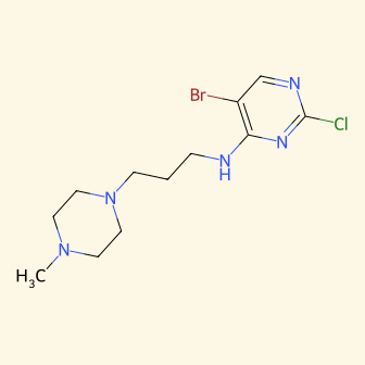 CN1CCN(CCCNc2nc(Cl)ncc2Br)CC1